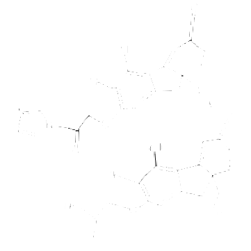 CCC12CCC(=O)C=C1c1c(cc(OCC(=O)O)c(Cl)c1Cl)C2.CCC12CCC(=O)C=C1c1c(cc(OCC(=O)n3ccnc3)c(Cl)c1Cl)C2